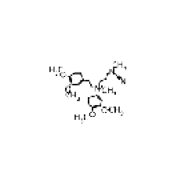 COc1ccc(CC[N+](C)(CCCN(C)C#N)c2ccc(OC)c(OC)c2)cc1OC